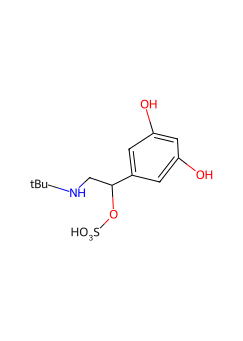 CC(C)(C)NCC(OS(=O)(=O)O)c1cc(O)cc(O)c1